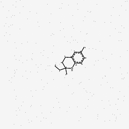 CCC1(C)CCc2cc(C)ccc2O1